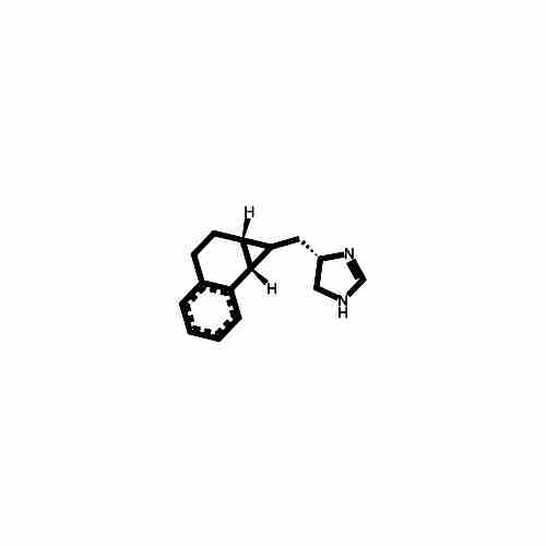 C1=N[C@@H](CC2[C@H]3CCc4ccccc4[C@@H]23)CN1